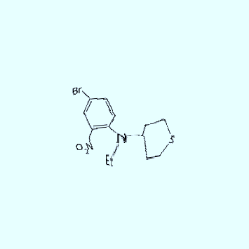 CCN(c1ccc(Br)cc1[N+](=O)[O-])C1CCSCC1